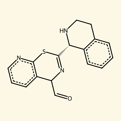 O=CC1N=C([C@@H]2NCCc3ccccc32)Sc2ncccc21